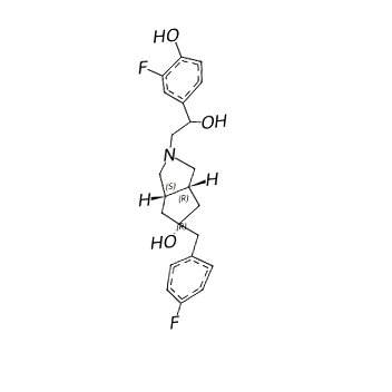 Oc1ccc(C(O)CN2C[C@@H]3C[C@@](O)(Cc4ccc(F)cc4)C[C@@H]3C2)cc1F